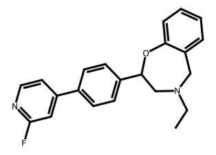 CCN1Cc2ccccc2OC(c2ccc(-c3ccnc(F)c3)cc2)C1